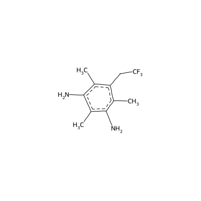 Cc1c(N)c(C)c(CC(F)(F)F)c(C)c1N